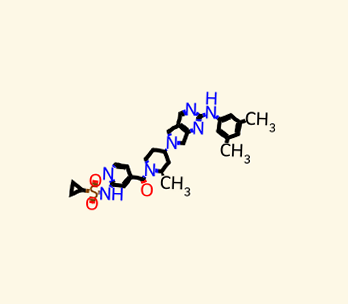 Cc1cc(C)cc(Nc2ncc3c(n2)CN([C@@H]2CCN(C(=O)c4ccnc(NS(=O)(=O)C5CC5)c4)[C@H](C)C2)C3)c1